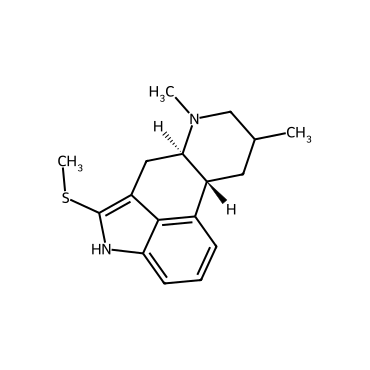 CSc1[nH]c2cccc3c2c1C[C@@H]1[C@@H]3CC(C)CN1C